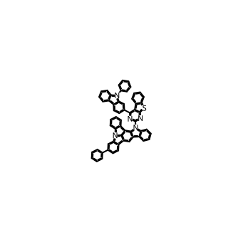 c1ccc(-c2ccc3c4cc5c6ccccc6n(-c6nc(-c7ccc8c9ccccc9n(-c9ccccc9)c8c7)c7c(n6)sc6ccccc67)c5c5c6ccccc6n(c3c2)c45)cc1